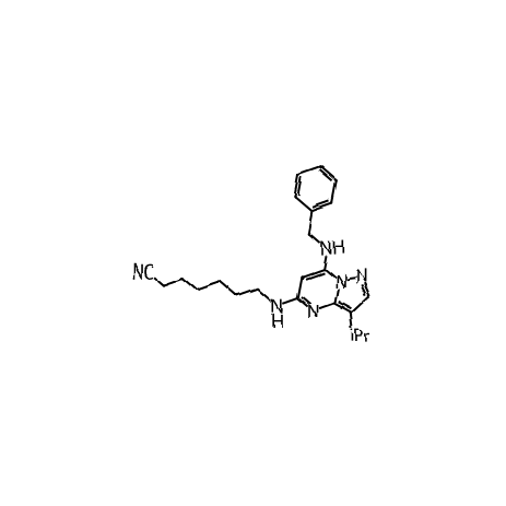 CC(C)c1cnn2c(NCc3ccccc3)cc(NCCCCCCC#N)nc12